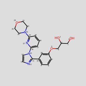 OCC(O)COc1cccc(-c2nccn2-c2cccc(N3CCOCC3)n2)c1